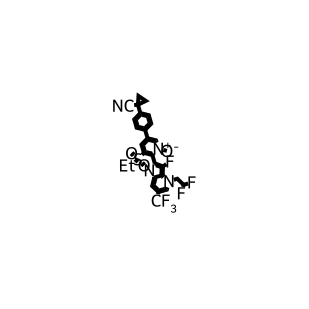 CCS(=O)(=O)c1cc(-c2ccc(C3(C#N)CC3)cc2)c[n+]([O-])c1-c1nc2cc(C(F)(F)F)cn(CC(F)F)c-2c1F